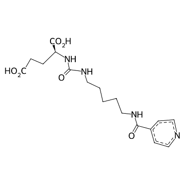 O=C(O)CC[C@H](NC(=O)NCCCCCNC(=O)c1ccncc1)C(=O)O